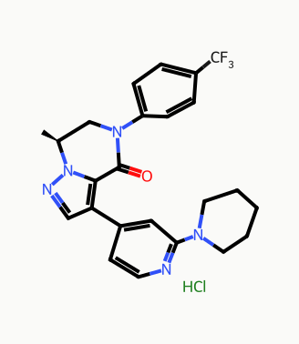 C[C@H]1CN(c2ccc(C(F)(F)F)cc2)C(=O)c2c(-c3ccnc(N4CCCCC4)c3)cnn21.Cl